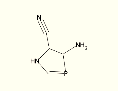 N#CC1NC=PC1N